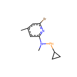 Cc1cc(Br)nc(N(C)PC2CC2)c1